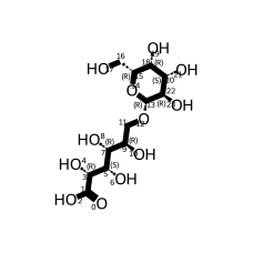 O=C(O)[C@H](O)[C@@H](O)[C@H](O)[C@H](O)CO[C@@H]1O[C@H](CO)[C@H](O)[C@H](O)[C@H]1O